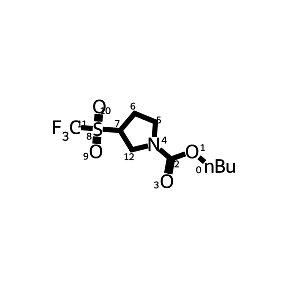 CCCCOC(=O)N1CCC(S(=O)(=O)C(F)(F)F)C1